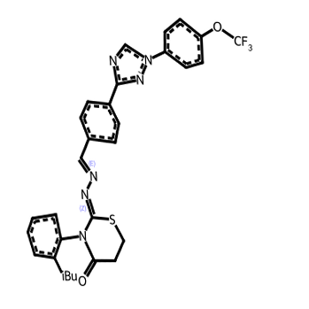 CCC(C)c1ccccc1N1C(=O)CCS/C1=N\N=C\c1ccc(-c2ncn(-c3ccc(OC(F)(F)F)cc3)n2)cc1